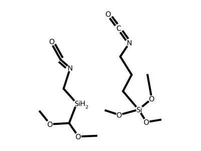 COC(OC)[SiH2]CN=C=O.CO[Si](CCCN=C=O)(OC)OC